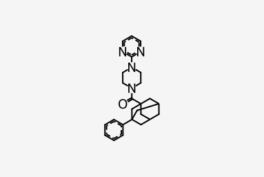 O=C(N1CCN(c2ncccn2)CC1)C12CC3CC(C1)CC(c1ccccc1)(C3)C2